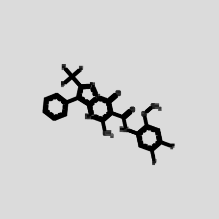 COc1cc(F)c(F)cc1NC(=O)c1c(C)[nH]c2c(-c3ccccc3)c(C(F)(F)F)nn2c1=O